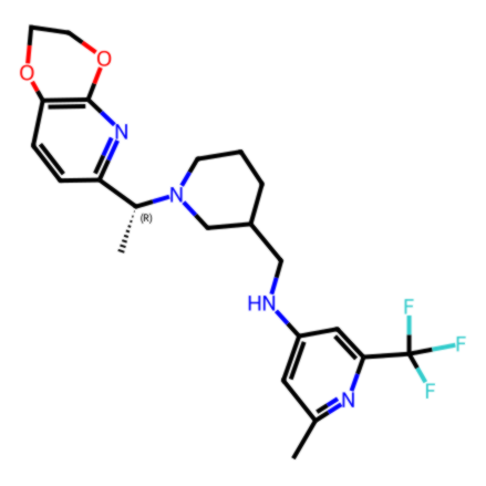 Cc1cc(NCC2CCCN([C@H](C)c3ccc4c(n3)OCCO4)C2)cc(C(F)(F)F)n1